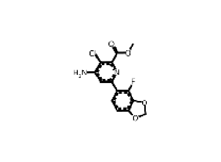 COC(=O)c1nc(-c2ccc3c(c2F)OCO3)cc(N)c1Cl